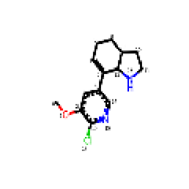 COc1cc(C2=CCCC3CCNC23)cnc1Cl